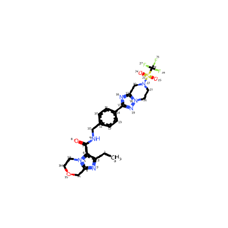 CCc1nc2n(c1C(=O)NCc1ccc(-c3nc4n(n3)CCN(S(=O)(=O)C(F)(F)F)C4)cc1)CCOC2